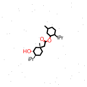 CC1CCC(C(C)C)C(OC(=O)C[C@]2(C)CC[C@@H](C(C)C)[C@H](O)C2)C1